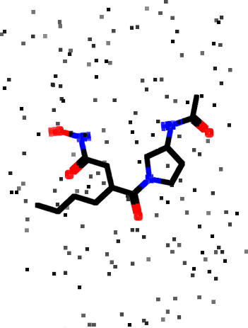 CCCCC(CC(=O)NO)C(=O)N1CCC(NC(C)=O)C1